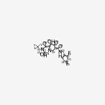 CC(C)(C)C1CO[C@@H]2Cn3cc(C(=O)NCc4ccc(F)cc4F)c(=O)c(O)c3C(=O)N12